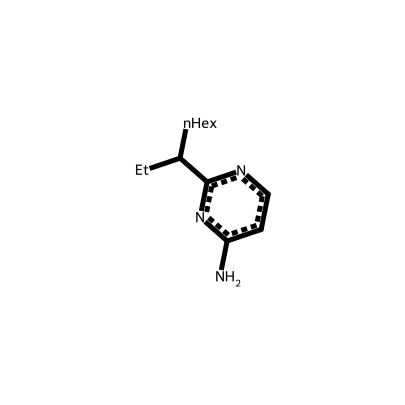 CCCCCCC(CC)c1nccc(N)n1